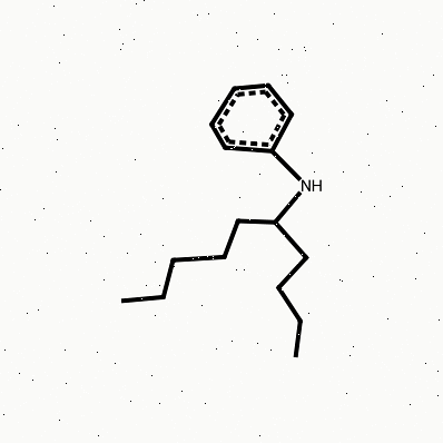 CCCCCC(CCCC)Nc1ccccc1